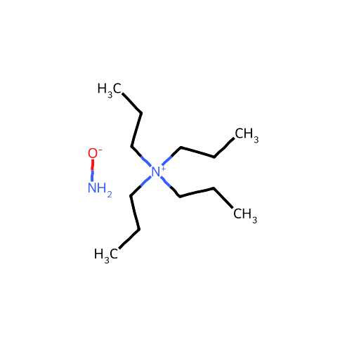 CCC[N+](CCC)(CCC)CCC.N[O-]